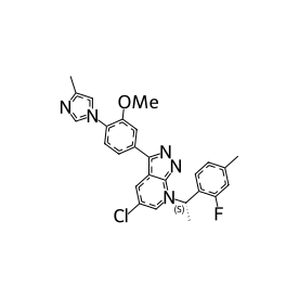 COc1cc(-c2nnc3n([C@@H](C)c4ccc(C)cc4F)cc(Cl)cc2-3)ccc1-n1cnc(C)c1